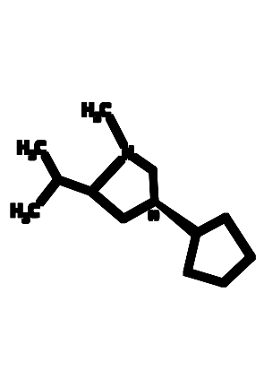 CC(C)C1C[C@H](C2CCCC2)CN1C